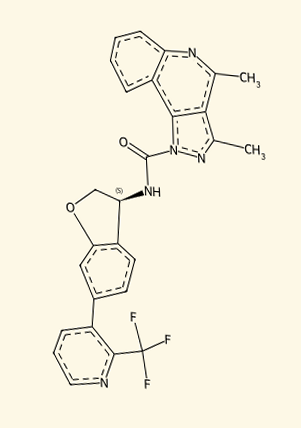 Cc1nc2ccccc2c2c1c(C)nn2C(=O)N[C@@H]1COc2cc(-c3cccnc3C(F)(F)F)ccc21